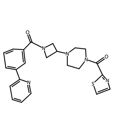 O=C(c1cccc(-c2ccccn2)c1)N1CC(N2CCN(C(=O)c3nccs3)CC2)C1